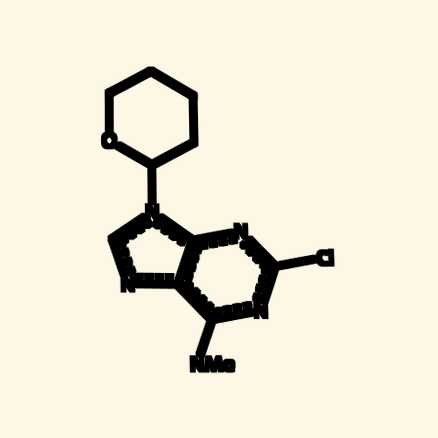 CNc1nc(Cl)nc2c1ncn2C1CCCCO1